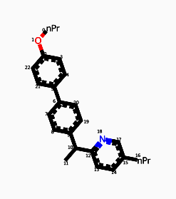 CCCOc1ccc(-c2ccc(C(C)c3ccc(CCC)cn3)cc2)cc1